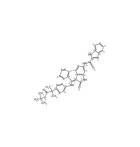 CC(C)(C)OC(=O)C(C)(C)c1ccc(N/C(=C2\C(=O)Nc3cc(NC(=O)c4nc5ccccc5[nH]4)ccc32)c2cccnc2)cc1